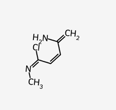 C=C(N)/C=C\C(Cl)=N/C